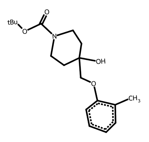 Cc1ccccc1OCC1(O)CCN(C(=O)OC(C)(C)C)CC1